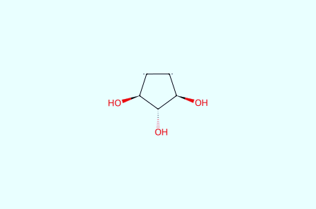 O[C@H]1[C@H](O)[CH][CH][C@@H]1O